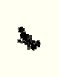 C[C@@H](NC(=O)[C@H](O)[C@@H](O)C(=O)N1CCC[C@@H]1c1nccs1)c1ccc(-n2cccn2)cc1